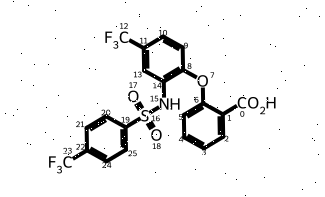 O=C(O)c1ccccc1Oc1ccc(C(F)(F)F)cc1NS(=O)(=O)c1ccc(C(F)(F)F)cc1